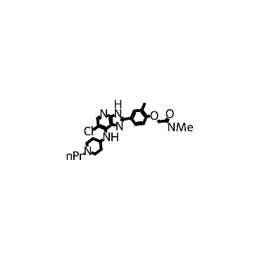 CCCN1CCC(Nc2c(Cl)cnc3[nH]c(-c4ccc(OCC(=O)NC)c(C)c4)nc23)CC1